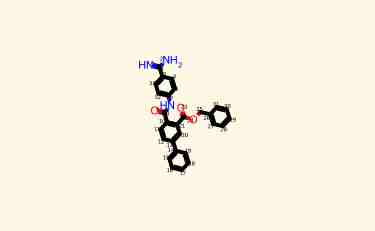 N=C(N)c1ccc(NC(=O)c2ccc(-c3ccccc3)cc2C(=O)OCc2ccccc2)cc1